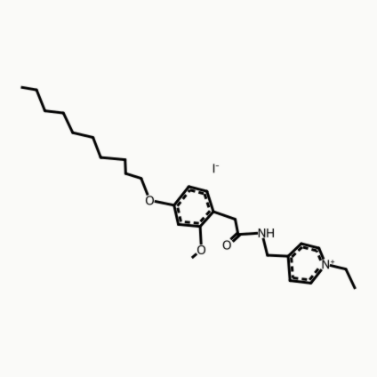 CCCCCCCCCCOc1ccc(CC(=O)NCc2cc[n+](CC)cc2)c(OC)c1.[I-]